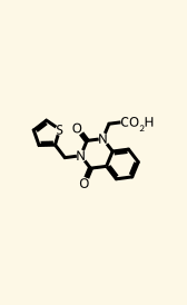 O=C(O)Cn1c(=O)n(Cc2cccs2)c(=O)c2ccccc21